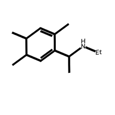 CCNC(C)C1=CC(C)C(C)C=C1C